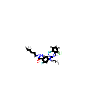 CCCCCCNC(=O)c1cc2nc(Nc3c(F)cccc3Cl)n(C)c2cc1F